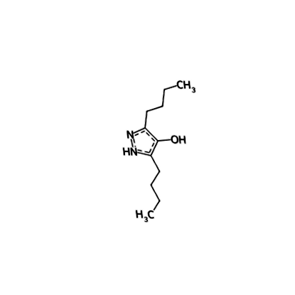 CCCCc1n[nH]c(CCCC)c1O